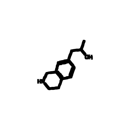 CC(O)Cc1ccc2c(c1)CNCC2